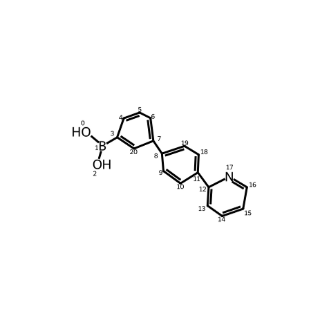 OB(O)c1cccc(-c2ccc(-c3ccccn3)cc2)c1